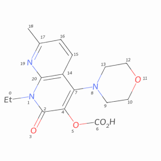 CCn1c(=O)c(OC(=O)O)c(N2CCOCC2)c2ccc(C)nc21